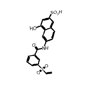 C=CS(=O)(=O)c1cccc(C(=O)Nc2ccc3cc(S(=O)(=O)O)cc(O)c3c2)c1